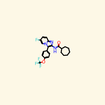 O=C(Nc1nc2ccc(F)cn2c1-c1ccc(OC(F)(F)F)cc1)C1CCCCCC1